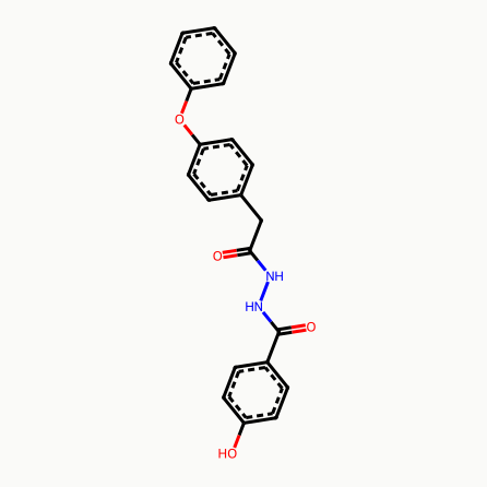 O=C(Cc1ccc(Oc2ccccc2)cc1)NNC(=O)c1ccc(O)cc1